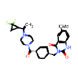 C=C(C1CC1(F)F)N1CCN(C(=O)[C@H]2CC[C@H](Cn3c(=O)[nH]c4ccc(OC)cc4c3=O)CC2)CC1